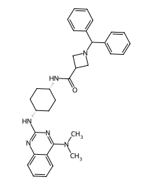 CN(C)c1nc(N[C@H]2CC[C@@H](NC(=O)C3CN(C(c4ccccc4)c4ccccc4)C3)CC2)nc2ccccc12